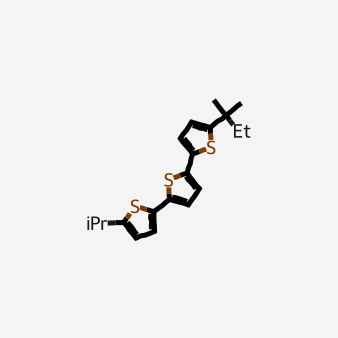 CCC(C)(C)c1ccc(-c2ccc(-c3ccc(C(C)C)s3)s2)s1